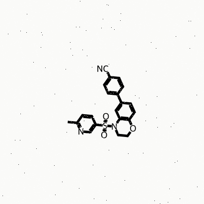 Cc1ccc(S(=O)(=O)N2CCOc3ccc(-c4ccc(C#N)cc4)cc32)cn1